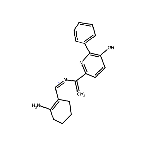 C=C(/N=C\C1=C(N)CCCC1)c1ccc(O)c(-c2ccccc2)n1